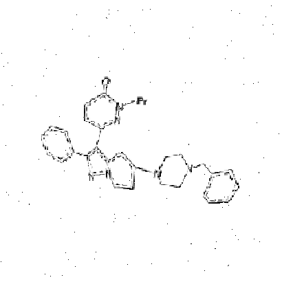 CC(C)n1nc(-c2c(-c3ccccc3)nn3ccc(N4CCN(Cc5ccccc5)CC4)cc23)ccc1=O